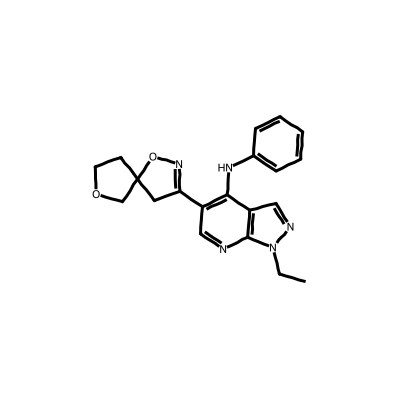 CCn1ncc2c(Nc3ccccc3)c(C3=NOC4(CCOC4)C3)cnc21